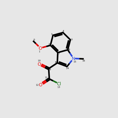 COc1cccc2c1c(C(=O)C(=O)Cl)cn2C